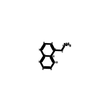 N[CH]c1cccc2ccccc12